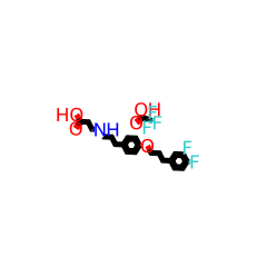 O=C(O)C(F)(F)F.O=C(O)CCNCCCc1ccc(OCCCc2ccc(F)c(F)c2)cc1